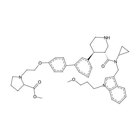 COCCCn1cc(CN(C(=O)[C@H]2CNCC[C@@H]2c2cccc(-c3ccc(OCCN4CCCC4C(=O)OC)cc3)c2)C2CC2)c2ccccc21